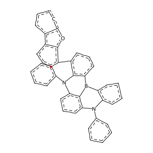 c1ccc(N2c3ccccc3B3c4cccc(-c5cccc6c5oc5ccccc56)c4N(c4ccccc4)c4cccc2c43)cc1